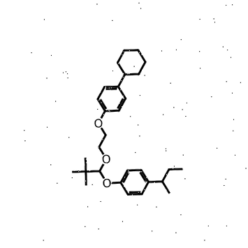 CCC(C)c1ccc(OC(OCCOc2ccc(C3CCCCC3)cc2)C(C)(C)C)cc1